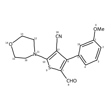 COc1cccc(-c2c(C=O)sc(N3CCOCC3)c2C#N)c1